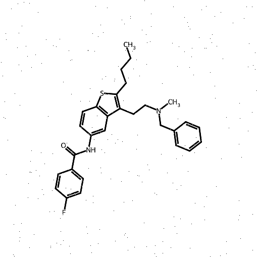 CCCCc1sc2ccc(NC(=O)c3ccc(F)cc3)cc2c1CCN(C)Cc1ccccc1